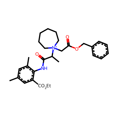 CCOC(=O)c1cc(C)cc(C)c1NC(=O)C(C)[N+]1(CC(=O)OCc2ccccc2)CCCCCC1